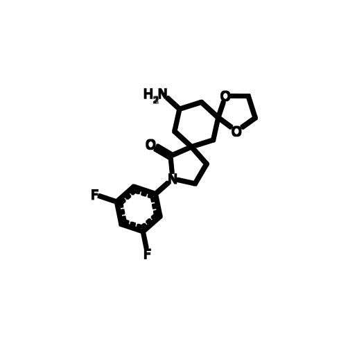 NC1CC2(CC3(CCN(c4cc(F)cc(F)c4)C3=O)C1)OCCO2